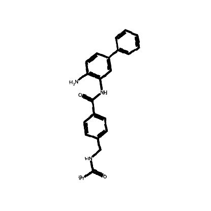 CC(C)C(=O)NCc1ccc(C(=O)Nc2cc(-c3ccccc3)ccc2N)cc1